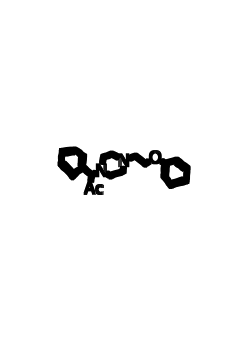 CC(=O)C(c1ccccc1)N1CCN(CCOc2ccccc2)CC1